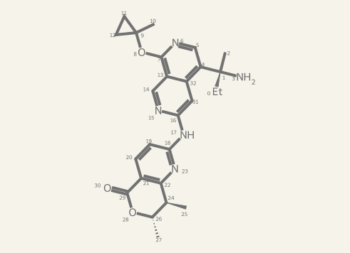 CC[C@@](C)(N)c1cnc(OC2(C)CC2)c2cnc(Nc3ccc4c(n3)[C@@H](C)[C@H](C)OC4=O)cc12